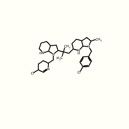 CC1CC2CCC(CC(C)(C)C3CC4CCCNC4N3CC3CCC(Cl)C=N3)NC2N1Cc1ccc(Cl)cc1